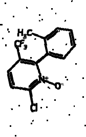 Cc1ccccc1-c1c(C(F)(F)F)ccc(Cl)[n+]1[O-]